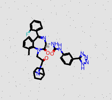 Cc1cccc2c1N(CC(=O)N1CC3CCC(CC3)C1)C(=O)[C@@H](NC(=O)Nc1cccc(-c3nnn[nH]3)c1)N=C2c1ccccc1F